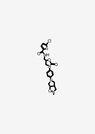 CN1CC2CN(c3ccc(N4CC(CNC(=O)c5ccc(Cl)s5)OC4=O)cc3)CC2O1